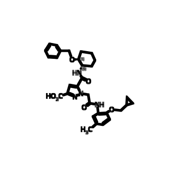 Cc1ccc(OCC2CC2)c(NC(=O)Cn2nc(C(=O)O)cc2C(=O)N[C@H]2CCCC[C@@H]2OCc2ccccc2)c1